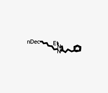 CCCCCCCCCCCCCCCCc1nc(CCCc2ccccc2)cn1CC